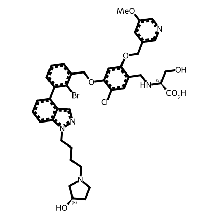 COc1cncc(COc2cc(OCc3cccc(-c4cccc5c4cnn5CCCCN4CC[C@@H](O)C4)c3Br)c(Cl)cc2CN[C@@H](CO)C(=O)O)c1